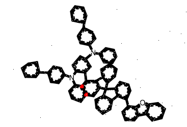 c1ccc(-c2ccc(N(c3ccccc3)c3ccc(N(c4ccccc4)c4ccc(-c5ccccc5)cc4)c(-c4cccc5c4-c4ccccc4C54c5ccccc5-c5c(-c6cccc7c6oc6ccccc67)cccc54)c3)cc2)cc1